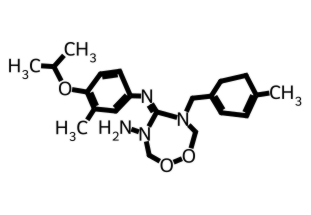 CC1=CC=C(CN2COOCN(N)/C2=N\c2ccc(OC(C)C)c(C)c2)CC1